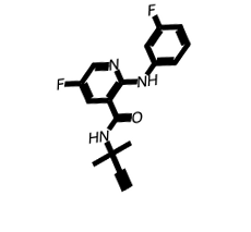 C#CC(C)(C)NC(=O)c1cc(F)cnc1Nc1cccc(F)c1